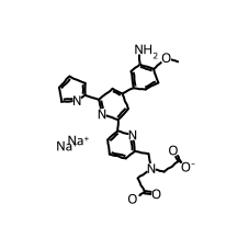 COc1ccc(-c2cc(-c3ccccn3)nc(-c3cccc(CN(CC(=O)[O-])CC(=O)[O-])n3)c2)cc1N.[Na+].[Na+]